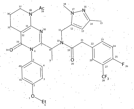 CCOc1ccc(-n2c(C(C)N(Cc3cc(C)nn3C)C(=O)Cc3ccc(F)c(C(F)(F)F)c3)nc3c(c2=O)CCCN3C(C)=O)cc1